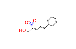 O=[N+]([O-])C(=CC=Cc1ccccc1)CO